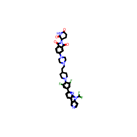 O=C1CCC(N2C(=O)c3ccc(N4CCN(CCC5CCN(c6c(F)cc(-c7ccc8c9cnccc9n(C(F)F)c8n7)cc6F)CC5)CC4)cc3C2=O)C(=O)N1